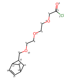 O=C(Cl)COCCOCCOCC1CC2C=CC1C2